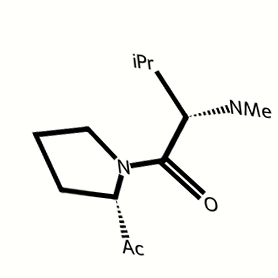 CN[C@H](C(=O)N1CCC[C@H]1C(C)=O)C(C)C